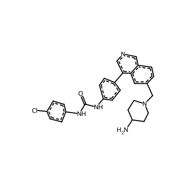 NC1CCN(Cc2ccc3cncc(-c4ccc(NC(=O)Nc5ccc(Cl)cc5)cc4)c3c2)CC1